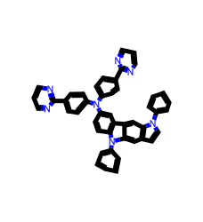 c1ccc(-n2ccc3cc4c(cc32)c2cc(N(c3ccc(-c5ncccn5)cc3)c3ccc(-c5ncccn5)cc3)ccc2n4-c2ccccc2)cc1